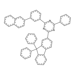 c1ccc(-c2nc(-c3cccc(-c4ccc5ccccc5c4)c3)nc(-c3ccc4c(c3)C(c3ccccc3)(c3ccccc3)c3ccccc3-4)n2)cc1